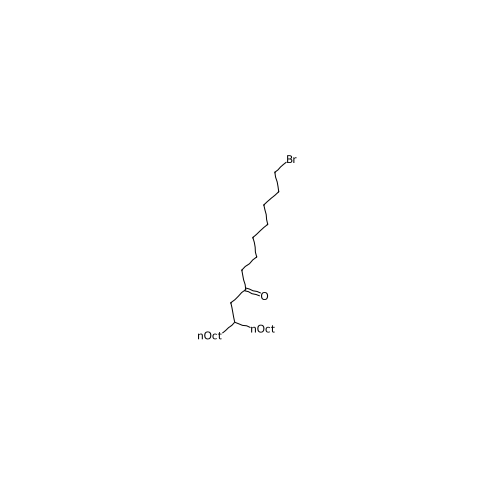 CCCCCCCCC(CCCCCCCC)CC(=O)CCCCCCCBr